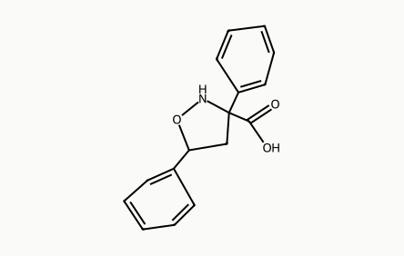 O=C(O)C1(c2ccccc2)CC(c2ccccc2)ON1